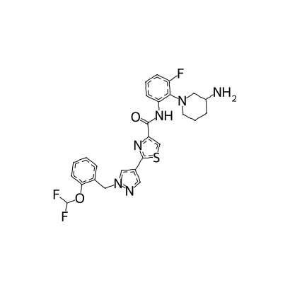 NC1CCCN(c2c(F)cccc2NC(=O)c2csc(-c3cnn(Cc4ccccc4OC(F)F)c3)n2)C1